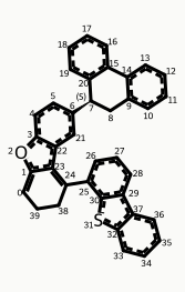 C1=c2oc3ccc([C@@H]4Cc5ccccc5-c5ccccc54)cc3c2=C(c2cccc3c2sc2ccccc23)CC1